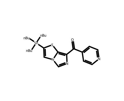 CCC[CH2][Sn]([CH2]CCC)([CH2]CCC)[c]1cn2cnc(C(=O)c3ccncc3)c2s1